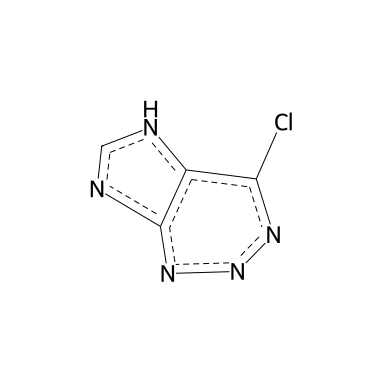 Clc1nnnc2nc[nH]c12